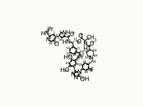 CC(C)Nc1cc(-c2c[nH]c(C(=O)N[C@H](COC(=O)[C@@H](C)NC(=O)C3CCN(Cc4ccc(-n5c(O)nnc5-c5cc(C(C)C)c(O)cc5O)cc4F)CC3)c3cccc(Cl)c3)c2)c(Cl)cn1